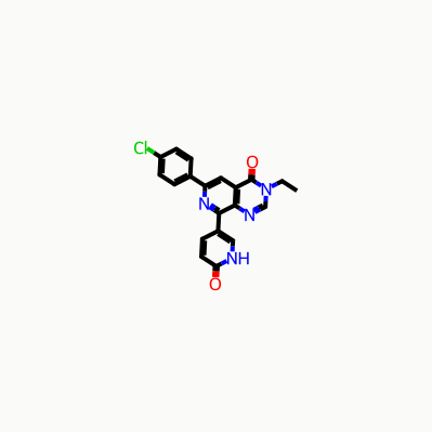 CCn1cnc2c(-c3ccc(=O)[nH]c3)nc(-c3ccc(Cl)cc3)cc2c1=O